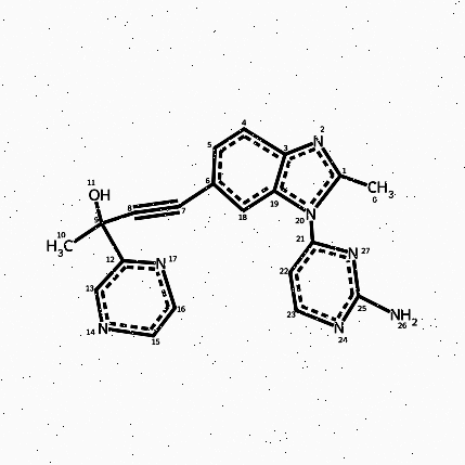 Cc1nc2ccc(C#CC(C)(O)c3cnccn3)cc2n1-c1ccnc(N)n1